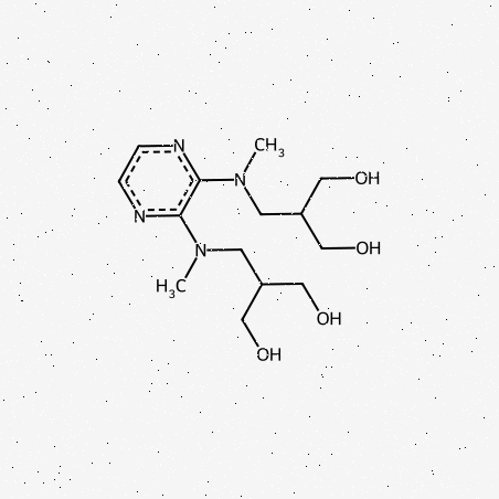 CN(CC(CO)CO)c1nccnc1N(C)CC(CO)CO